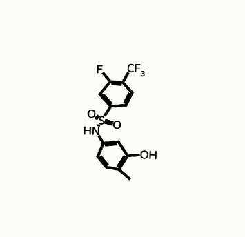 Cc1ccc(NS(=O)(=O)c2ccc(C(F)(F)F)c(F)c2)cc1O